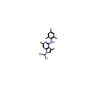 CCC(CC)n1cc(C)c2c(Nc3c(C)cc(C)cc3C)nc(C)cc21